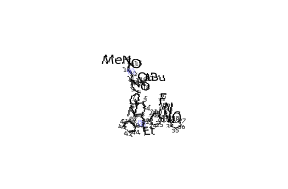 CC/C(=C(/c1ccc(OCCN(C/C=C/C(=O)NC)C(=O)OC(C)(C)C)nc1)c1ccc2c(c1)c(F)nn2C1CCCCO1)c1ccccc1